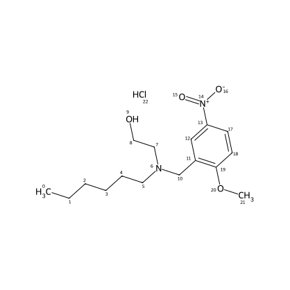 CCCCCCN(CCO)Cc1cc([N+](=O)[O-])ccc1OC.Cl